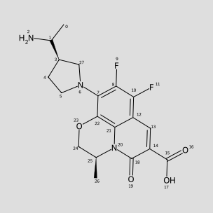 CC(N)[C@@H]1CCN(c2c(F)c(F)c3cc(C(=O)O)c(=O)n4c3c2OC[C@@H]4C)C1